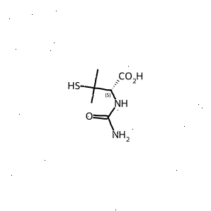 CC(C)(S)[C@@H](NC(N)=O)C(=O)O